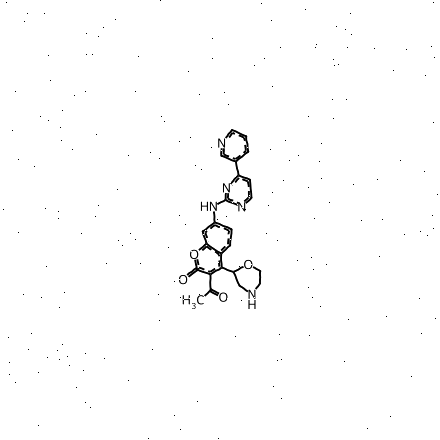 CC(=O)c1c(C2CNCCO2)c2ccc(Nc3nccc(-c4cccnc4)n3)cc2oc1=O